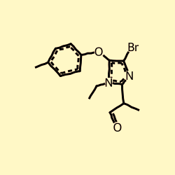 CCn1c(C(C)C=O)nc(Br)c1Oc1ccc(C)cc1